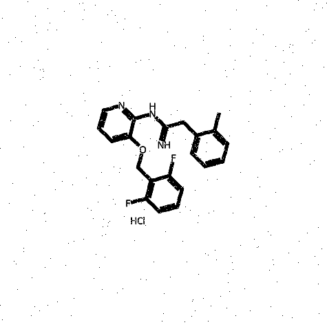 Cc1ccccc1CC(=N)Nc1ncccc1OCc1c(F)cccc1F.Cl